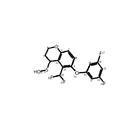 OSC1CCOc2ccc(Oc3cc(F)cc(F)c3)c(C(F)F)c21